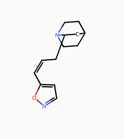 C(=C/c1ccno1)/CC1CC2CCN1CC2